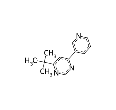 CC(C)(C)c1cc(-c2cccnc2)ncn1